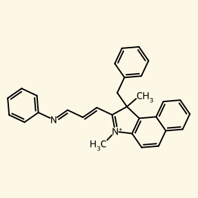 C[N+]1=C(/C=C/C=N/c2ccccc2)C(C)(Cc2ccccc2)c2c1ccc1ccccc21